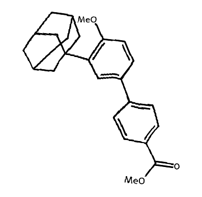 COC(=O)c1ccc(-c2ccc(OC)c(C34CC5CC(CC(C5)C3)C4)c2)cc1